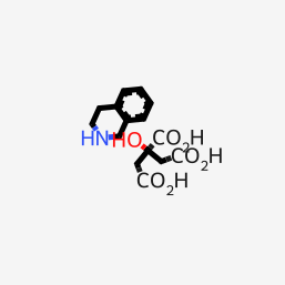 O=C(O)CC(O)(CC(=O)O)C(=O)O.c1ccc2c(c1)CCNC2